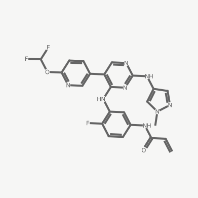 C=CC(=O)Nc1ccc(F)c(Nc2nc(Nc3cnn(C)c3)ncc2-c2ccc(OC(F)F)nc2)c1